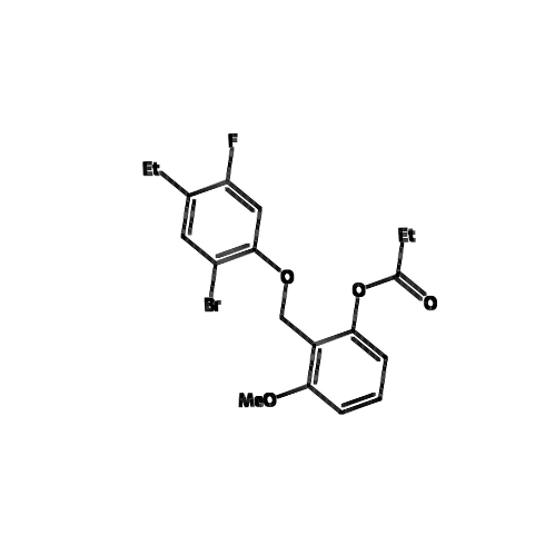 CCC(=O)Oc1cccc(OC)c1COc1cc(F)c(CC)cc1Br